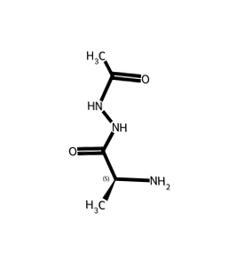 CC(=O)NNC(=O)[C@H](C)N